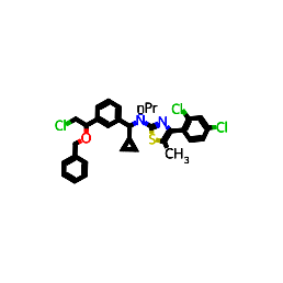 CCCN(c1nc(-c2ccc(Cl)cc2Cl)c(C)s1)C(c1cccc(C(CCl)OCc2ccccc2)c1)C1CC1